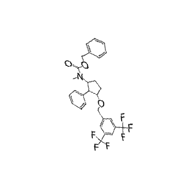 CN(C(=O)OCc1ccccc1)C1CCC(OCc2cc(C(F)(F)F)cc(C(F)(F)F)c2)C1c1ccccc1